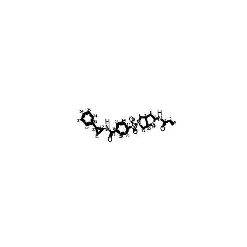 C=CC(=O)NC1CC2CN(S(=O)(=O)c3ccc(C(=O)N[C@@H]4CC4c4ccccc4)cc3)CC2S1